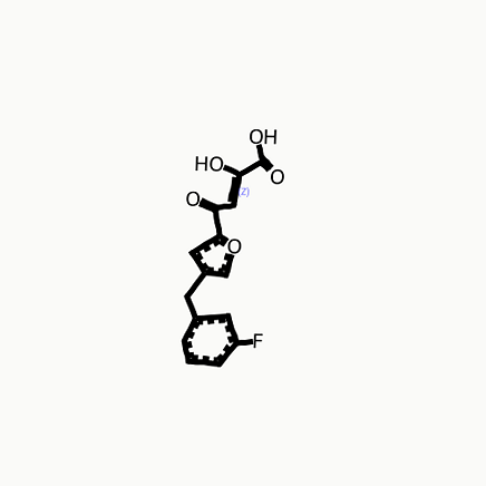 O=C(O)/C(O)=C/C(=O)c1cc(Cc2cccc(F)c2)co1